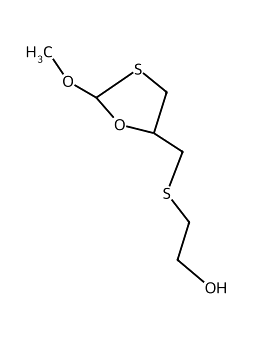 COC1OC(CSCCO)CS1